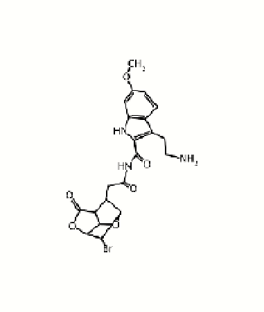 COc1ccc2c(CCN)c(C(=O)NC(=O)CC3C4OC5C(OC(=O)C35)C4Br)[nH]c2c1